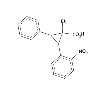 CCC1(C(=O)O)C(c2ccccc2)C1c1ccccc1[N+](=O)[O-]